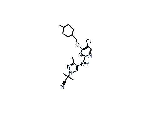 Cc1nn(C(C)(C)C#N)cc1Nc1ncc(Cl)c(OCC2CCC(C)CC2)n1